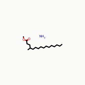 CCCCCCCCCCCCC(C)CCC(=O)OC.N